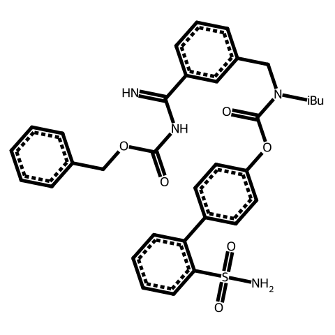 CCC(C)N(Cc1cccc(C(=N)NC(=O)OCc2ccccc2)c1)C(=O)Oc1ccc(-c2ccccc2S(N)(=O)=O)cc1